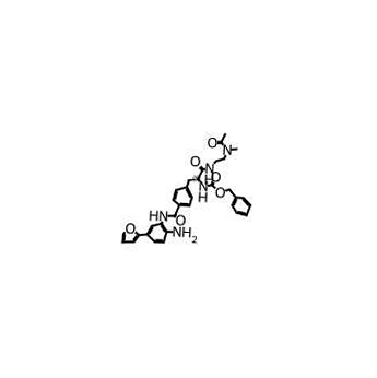 CC(=O)N(C)CCNC(=O)[C@H](Cc1ccc(C(=O)Nc2cc(-c3ccco3)ccc2N)cc1)NC(=O)OCc1ccccc1